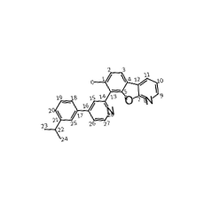 Cc1ccc2c(oc3ncccc32)c1-c1cc(-c2cccc(C(C)C)c2)ccn1